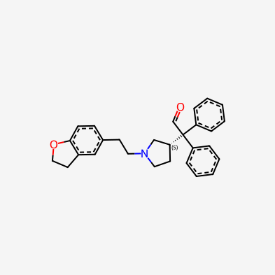 O=CC(c1ccccc1)(c1ccccc1)[C@@H]1CCN(CCc2ccc3c(c2)CCO3)C1